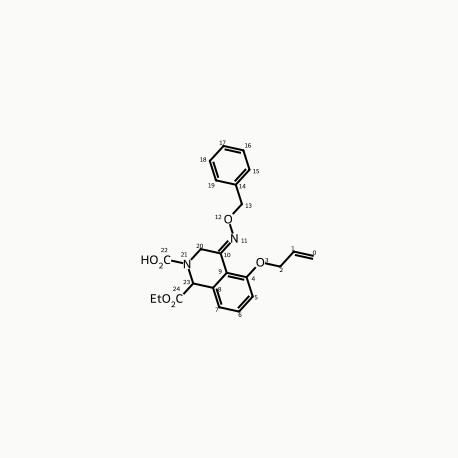 C=CCOc1cccc2c1C(=NOCc1ccccc1)CN(C(=O)O)C2C(=O)OCC